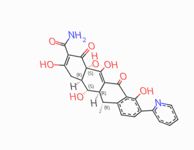 C[C@H]1c2ccc(-c3ccccn3)c(O)c2C(=O)C2=C(O)[C@]3(O)C(=O)C(C(N)=O)=C(O)C[C@@H]3[C@@H](O)[C@@H]21